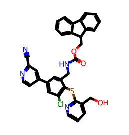 N#Cc1cc(-c2cc(Cl)c(Sc3ncccc3CO)c(CNC(=O)OCC3c4ccccc4-c4ccccc43)c2)ccn1